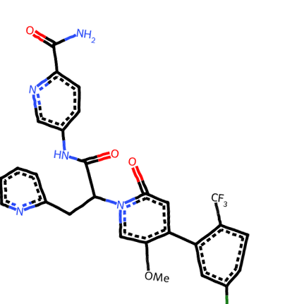 COc1cn(C(Cc2ccccn2)C(=O)Nc2ccc(C(N)=O)nc2)c(=O)cc1-c1cc(Cl)ccc1C(F)(F)F